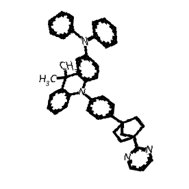 CC1(C)c2ccccc2N(c2ccc(C34CCC(c5ncccn5)(CC3)C4)cc2)c2ccc(N(c3ccccc3)c3ccccc3)cc21